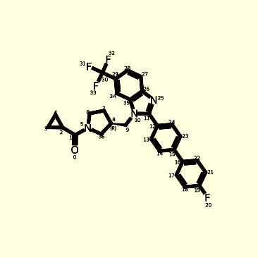 O=C(C1CC1)N1CC[C@@H](Cn2c(-c3ccc(-c4ccc(F)cc4)cc3)nc3ccc(C(F)(F)F)cc32)C1